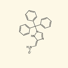 [O-][NH2+]C=C1N=CN(C(c2ccccc2)(c2ccccc2)c2ccccc2)N1